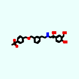 CS(=O)(=O)c1ccc(COCc2cccc(CCNC[C@H](O)c3ccc(O)c(CO)c3)c2)cc1